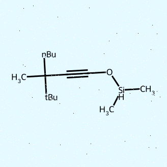 CCCCC(C)(C#CO[SiH](C)C)C(C)(C)C